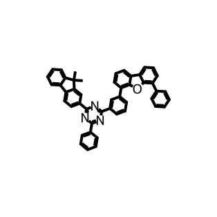 CC1(C)c2ccccc2-c2ccc(-c3nc(-c4ccccc4)nc(-c4cccc(-c5cccc6c5oc5c(-c7ccccc7)cccc56)c4)n3)cc21